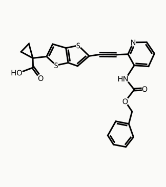 O=C(Nc1cccnc1C#Cc1cc2sc(C3(C(=O)O)CC3)cc2s1)OCc1ccccc1